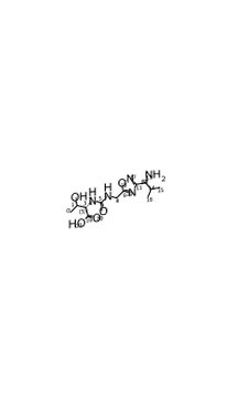 CC(O)[C@H](NC(=O)NCc1nc([C@@H](N)C(C)C)no1)C(=O)O